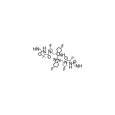 CNCC(=O)NC(C(=O)N1CC(F)CC1Cn1c(-c2[nH]c3cc(F)ccc3c2CC2CC(F)CN2C(=O)C(NC(=O)CNC)C(C)(C)C)nc2cc(F)ccc21)C1CC1